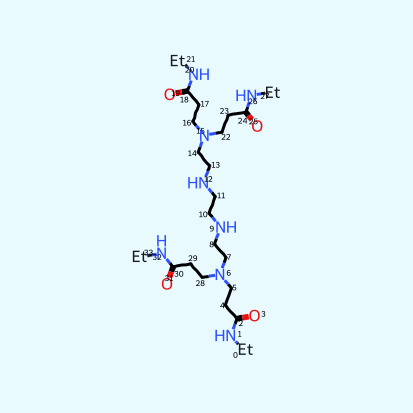 CCNC(=O)CCN(CCNCCNCCN(CCC(=O)NCC)CCC(=O)NCC)CCC(=O)NCC